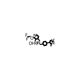 Cc1nn(C)cc1-c1ccc(CN(C=O)Cc2ccnc(OCC(F)F)c2C)cc1